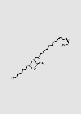 CCC=CCCCCOC[C@H](COCCCCCCCC/C=C\C/C=C\CCCCC)N(C)C